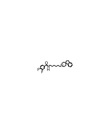 O=C(NCCCCCCN1CCC2(CCc3ccccc32)CC1)c1ccc(F)c(F)c1